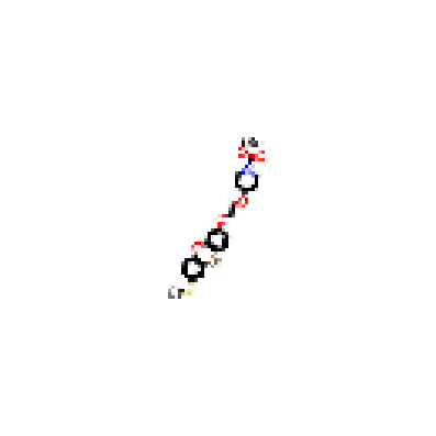 CCSc1ccc(Oc2cccc(OCCOC3CCN(C(=O)OC(C)(C)C)CC3)c2)c(Br)c1